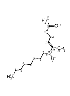 CCCCCCCC[S+]([O-])C(C)=CCOC(C)=O